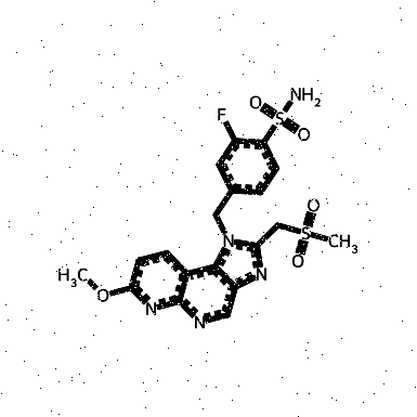 COc1ccc2c(ncc3nc(CS(C)(=O)=O)n(Cc4ccc(S(N)(=O)=O)c(F)c4)c32)n1